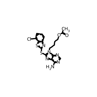 CC(=O)OCCCCn1c(Sc2nc3cccc(Cl)c3s2)nc2c(N)ncnc21